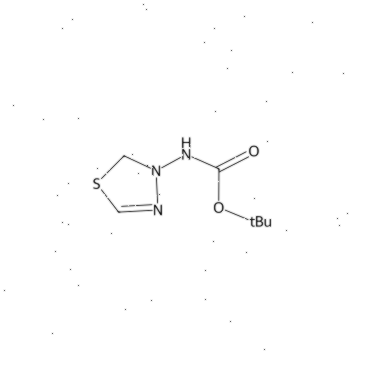 CC(C)(C)OC(=O)NN1CSC=N1